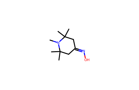 CN1C(C)(C)CC(=NO)CC1(C)C